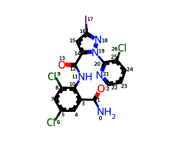 NC(=O)c1cc(Cl)cc(Cl)c1NC(=O)c1cc(I)nn1-c1ncccc1Cl